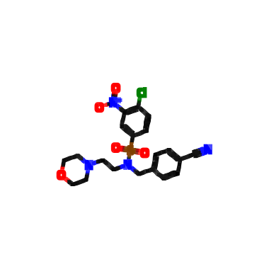 N#Cc1ccc(CN(CCN2CCOCC2)S(=O)(=O)c2ccc(Cl)c([N+](=O)[O-])c2)cc1